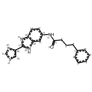 O=C(CCCc1ccccc1)Nc1ccc2nc(-c3cscn3)[nH]c2c1